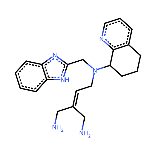 NCC(=CCN(Cc1nc2ccccc2[nH]1)C1CCCc2cccnc21)CN